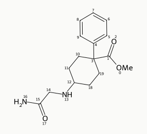 COC(=O)C1(c2ccccc2)CCC(NCC(N)=O)CC1